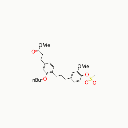 CCCCOc1cc(CCC(=O)OC)ccc1CCCc1ccc(OS(C)(=O)=O)c(OC)c1